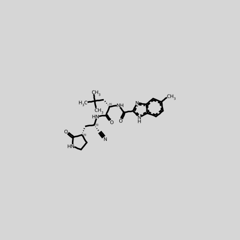 Cc1ccc2[nH]c(C(=O)N[C@@H](CC(C)(C)C)C(=O)N[C@H](C#N)C[C@@H]3CCNC3=O)nc2c1